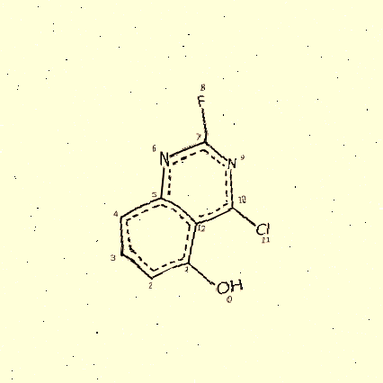 Oc1cccc2nc(F)nc(Cl)c12